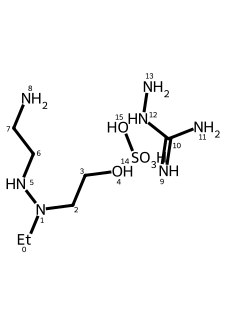 CCN(CCO)NCCN.N=C(N)NN.O=S(=O)(O)O